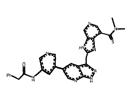 CC(C)CC(=O)Nc1cncc(-c2cnc3[nH]nc(-c4nc5c(C(=S)N(C)C)cncc5[nH]4)c3c2)c1